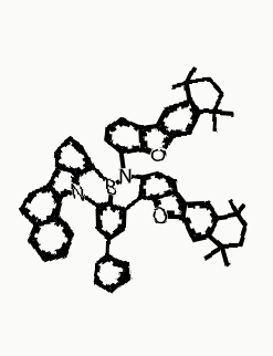 CC1(C)CCC(C)(C)c2cc3c(cc21)oc1c(N2B4c5c(cc(-c6ccccc6)cc5-n5c6c4cccc6c4ccc6ccccc6c45)-c4c2ccc2c4oc4cc5c(cc42)C(C)(C)CCC5(C)C)cccc13